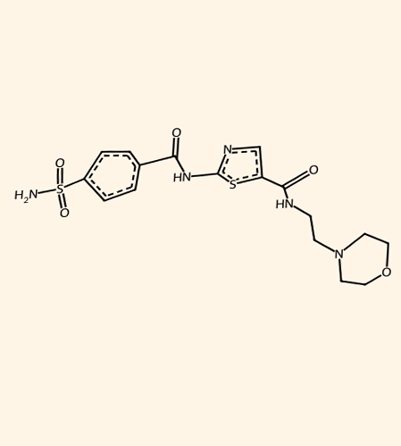 NS(=O)(=O)c1ccc(C(=O)Nc2ncc(C(=O)NCCN3CCOCC3)s2)cc1